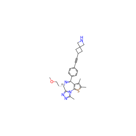 COCC[C@@H]1N=C(c2ccc(C#CC3CC4(CNC4)C3)cc2)c2c(sc(C)c2C)-n2c(C)nnc21